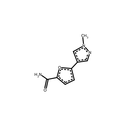 Cn1cc(-c2ccc(C(N)=O)o2)cn1